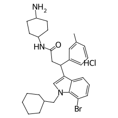 Cc1cccc(C(CC(=O)NC2CCC(N)CC2)c2cn(CC3CCCCC3)c3c(Br)cccc23)c1.Cl